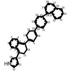 C1=C(C2=c3ccccc3=C(c3cc[nH]c3)CC2)CCC(c2ccc(-c3cccc4ccccc34)cc2)=C1